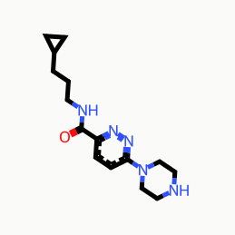 O=C(NCCCC1CC1)c1ccc(N2CCNCC2)nn1